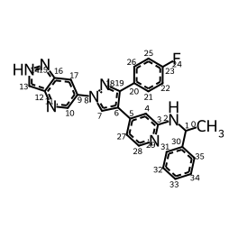 CC(Nc1cc(-c2cn(-c3cnc4c[nH]nc4c3)nc2-c2ccc(F)cc2)ccn1)c1ccccc1